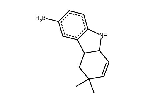 Bc1ccc2c(c1)C1CC(C)(C)C=CC1N2